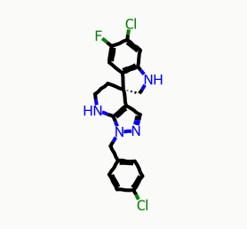 Fc1cc2c(cc1Cl)NC[C@]21CCNc2c1cnn2Cc1ccc(Cl)cc1